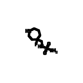 NS(=O)(=O)NCC1(F)CCCNCC1